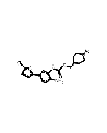 CC(=O)N1CCC(COC(=O)Nc2cc(-c3ccc(Cl)s3)ccc2N)CC1